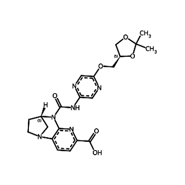 CC1(C)OC[C@H](COc2cnc(NC(=O)N3c4nc(C(=O)O)ccc4N4CC[C@H]3C4)cn2)O1